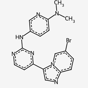 CN(C)c1ccc(Nc2nccc(-c3cnc4ccc(Br)cn34)n2)cn1